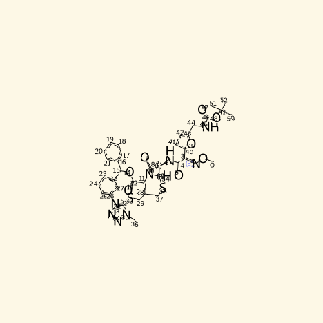 CO/N=C(/C(=O)N[C@@H]1C(=O)N2C(C(=O)OC(c3ccccc3)c3ccccc3)=C(CSc3nnnn3C)CS[C@H]12)c1ccc(CNC(=O)OC(C)(C)C)o1